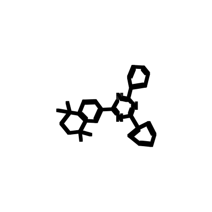 CC1(C)CCC(C)(C)c2cc(-c3nc(-c4ccccc4)nc(-c4ccccc4)n3)ccc21